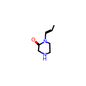 CC=CN1CCNCC1=O